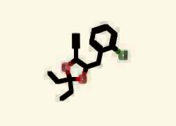 C#CC1OC(CC)(CC)OC1Cc1ccccc1Cl